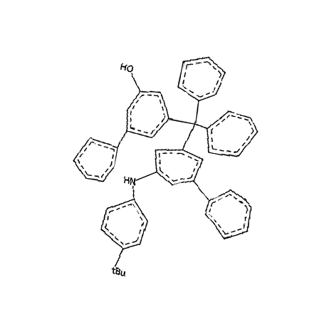 CC(C)(C)c1ccc(Nc2cc(-c3ccccc3)cc(C(c3ccccc3)(c3ccccc3)c3cc(O)cc(-c4ccccc4)c3)c2)cc1